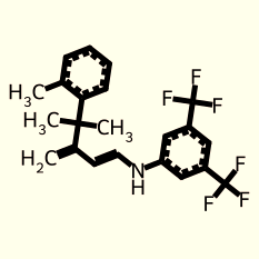 C=C(C=CNc1cc(C(F)(F)F)cc(C(F)(F)F)c1)C(C)(C)c1ccccc1C